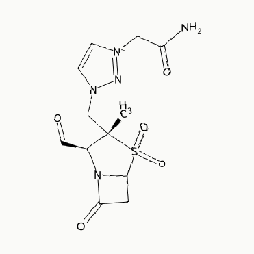 C[C@]1(Cn2cc[n+](CC(N)=O)n2)[C@H](C=O)N2C(=O)CC2S1(=O)=O